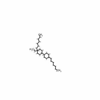 CCCCCCCC1CCC(C2CCC(CC)(CCCCCCC)CC2)CC1